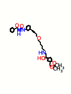 CC1(C)OCc2cc([C@H](O)CNCCCCCCOCCC#Cc3cccc(NC(=O)NC(=O)c4ccccc4)c3)ccc2O1